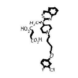 CN(C1=Nc2ccccc2CS1)C1CCN(CCCCOc2ccc(F)c(Cl)c2)CC1.O=C(O)C=CC(=O)O